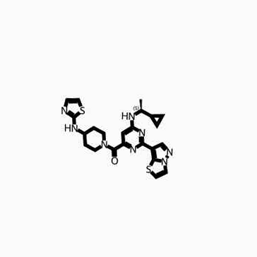 C[C@H](Nc1cc(C(=O)N2CCC(Nc3nccs3)CC2)nc(-c2cnn3ccsc23)n1)C1CC1